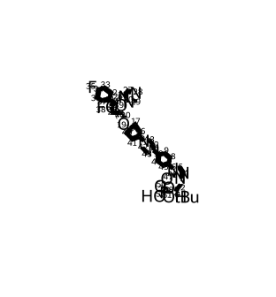 CC(C)(C)C(Cn1ncn(-c2ccc(N3CCN(c4ccc(OC[C@@H]5CO[C@@](Cn6cncn6)(c6ccc(F)cc6F)O5)cc4)CC3)cc2)c1=O)OP(=O)(O)O